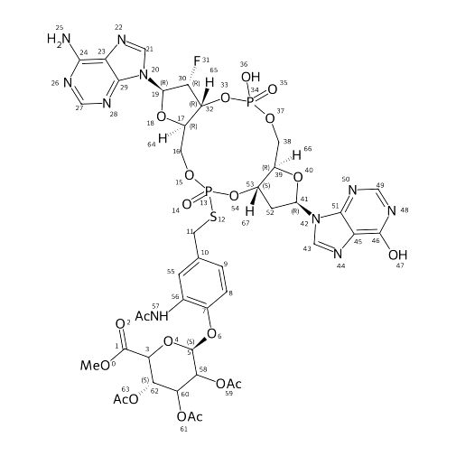 COC(=O)C1O[C@@H](Oc2ccc(CSP3(=O)OC[C@H]4O[C@@H](n5cnc6c(N)ncnc65)[C@H](F)[C@@H]4OP(=O)(O)OC[C@H]4O[C@@H](n5cnc6c(O)ncnc65)C[C@@H]4O3)cc2NC(C)=O)C(OC(C)=O)C(OC(C)=O)[C@@H]1OC(C)=O